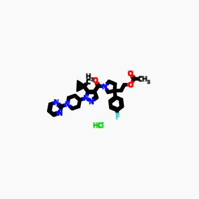 CC(=O)OCCC1(c2ccc(F)cc2)CCN(C(=O)c2cnn(C3CCN(c4ncccn4)CC3)c2C2(C)CC2)C1.Cl